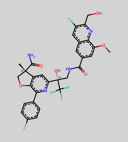 COc1cc(C(=O)NC[C@](O)(c2cc3c(c(-c4ccc(F)cc4)n2)OC[C@]3(C)C(N)=O)C(F)(F)F)cc2cc(F)c(CO)nc12